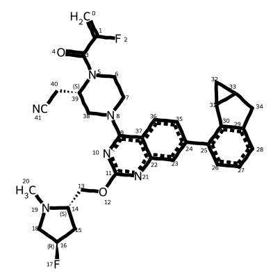 C=C(F)C(=O)N1CCN(c2nc(OC[C@@H]3C[C@@H](F)CN3C)nc3cc(-c4cccc5c4C4CC4C5)ccc23)C[C@@H]1CC#N